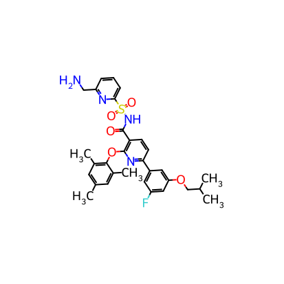 Cc1cc(C)c(Oc2nc(-c3cc(F)cc(OCC(C)C)c3)ccc2C(=O)NS(=O)(=O)c2cccc(CN)n2)c(C)c1